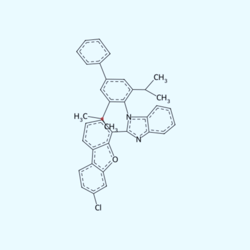 CC(C)c1cc(-c2ccccc2)cc(C(C)C)c1-n1c(-c2cccc3c2oc2cc(Cl)ccc23)nc2ccccc21